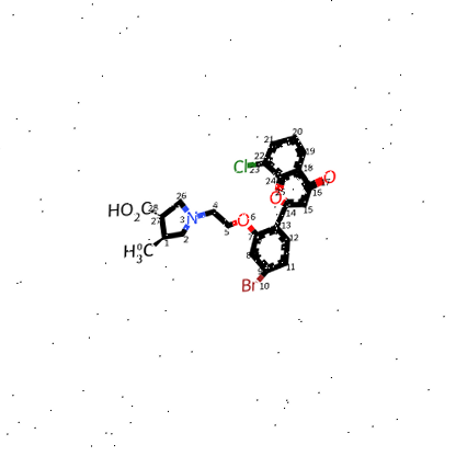 C[C@@H]1CN(CCOc2cc(Br)ccc2-c2cc(=O)c3cccc(Cl)c3o2)C[C@H]1C(=O)O